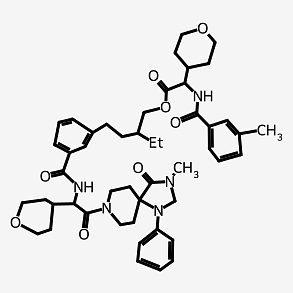 CCC(CCc1cccc(C(=O)NC(C(=O)N2CCC3(CC2)C(=O)N(C)CN3c2ccccc2)C2CCOCC2)c1)COC(=O)C(NC(=O)c1cccc(C)c1)C1CCOCC1